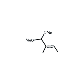 CC=C(C)C(OC)OC